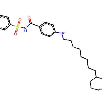 O=C(NS(=O)(=O)c1ccccc1)c1ccc(NCCCCCCCCC2CCCCC2)cc1